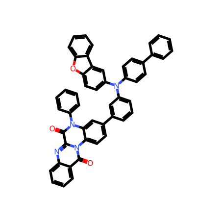 O=c1c2nc3ccccc3c(=O)n2c2ccc(-c3cccc(N(c4ccc(-c5ccccc5)cc4)c4ccc5oc6ccccc6c5c4)c3)cc2n1-c1ccccc1